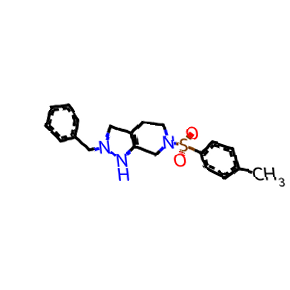 Cc1ccc(S(=O)(=O)N2CCC3=C(C2)NN(Cc2ccccc2)C3)cc1